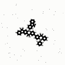 CC1(C)c2ccccc2-c2ccc(N3c4ccc(-c5ccc6c(c5)C(C)(C)c5ccccc5N6c5ccccc5)cc4C(C)(C)c4cc5c(cc43)C(C)(C)c3ccccc3-5)cc21